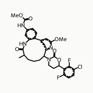 COC(=O)Nc1ccc2c(c1)NC(=O)C(C)CCCC(N1CCC(c3c(F)ccc(Cl)c3F)OC1=O)c1cc-2cc(OC)n1